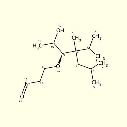 CC(C)CC(C)(C(C)C)[C@@H](OCCN=O)C(C)O